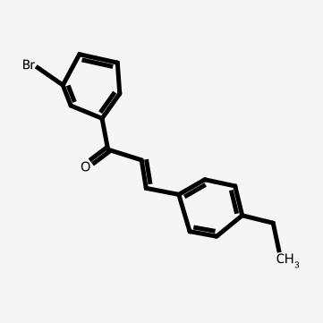 CCc1ccc(C=CC(=O)c2cccc(Br)c2)cc1